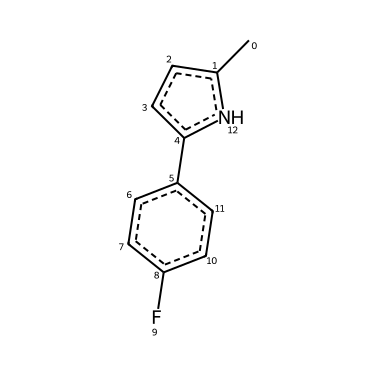 Cc1ccc(-c2ccc(F)cc2)[nH]1